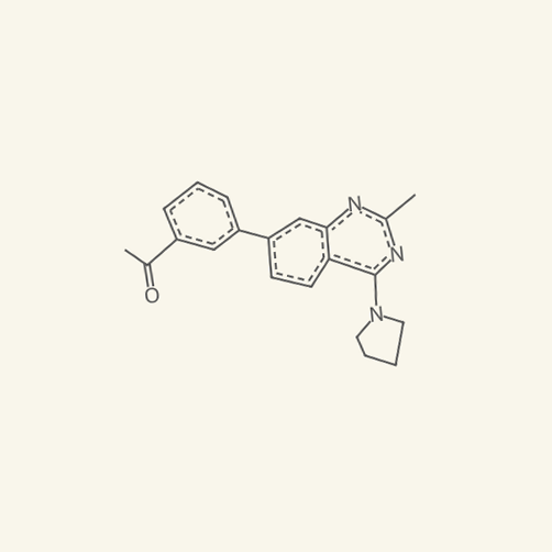 CC(=O)c1cccc(-c2ccc3c(N4CCCC4)nc(C)nc3c2)c1